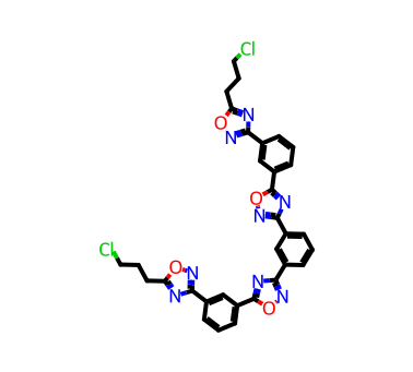 ClCCCc1nc(-c2cccc(-c3nc(-c4cccc(-c5noc(-c6cccc(-c7noc(CCCCl)n7)c6)n5)c4)no3)c2)no1